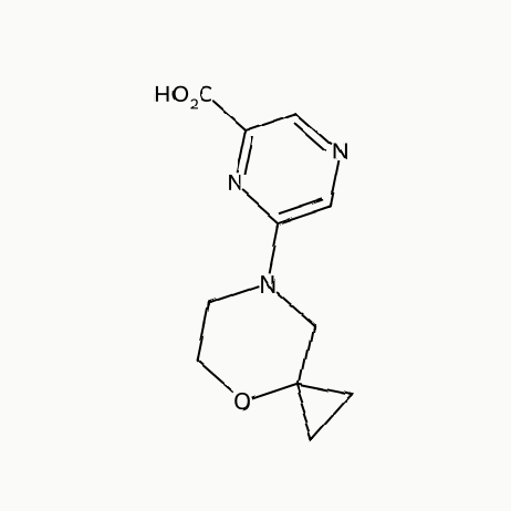 O=C(O)c1cncc(N2CCOC3(CC3)C2)n1